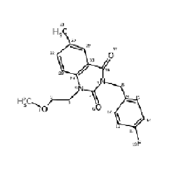 COCCn1c(=O)n(Cc2ccc(F)cc2)c(=O)c2cc(C)ccc21